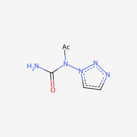 CC(=O)N(C(N)=O)n1ccnn1